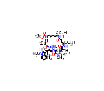 C/C(=C\[C@H](C(C)C)N(C)C(=O)[C@@H](NC(=O)[C@@H](N(C)C(=O)OC(C)(C)C)C(C)(C)c1cn(C)c2ccccc12)C(C)(C)C)C(=O)N[C@H](CCC(=O)N[C@H](CCCCNC(=O)OC(C)(C)C)C(=O)O)C(=O)O